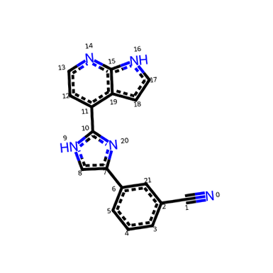 N#Cc1cccc(-c2c[nH]c(-c3ccnc4[nH]ccc34)n2)c1